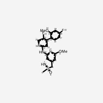 COc1cc(CS(C)(=N)=O)cc(Nc2cc(-c3ccc(F)cc3OC)c(F)cn2)n1